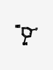 Cl.Oc1cccc(F)c1